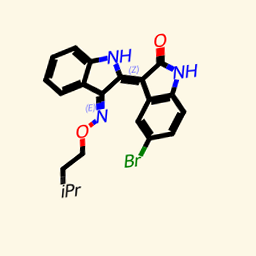 CC(C)CCO/N=C1/C(=C2/C(=O)Nc3ccc(Br)cc32)Nc2ccccc21